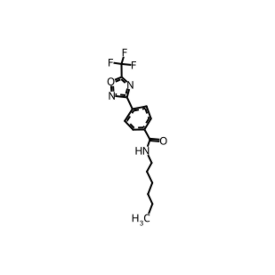 CCCCCCNC(=O)c1ccc(-c2noc(C(F)(F)F)n2)cc1